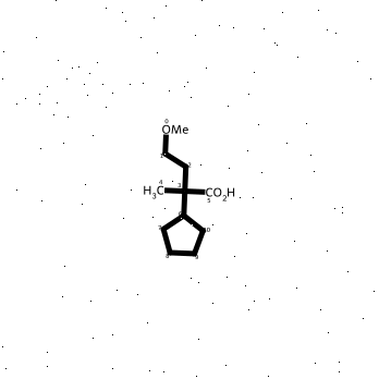 COCCC(C)(C(=O)O)C1CCCC1